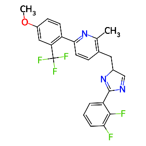 COc1ccc(-c2ccc(CC3C=NC(c4cccc(F)c4F)=N3)c(C)n2)c(C(F)(F)F)c1